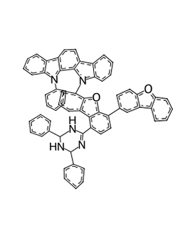 c1ccc(C2N=C(c3ccc(-c4ccc5oc6ccccc6c5c4)c4oc5c(-n6c7ccccc7c7ccc8c9ccccc9n(-c9ccccc9)c8c76)cccc5c34)NC(c3ccccc3)N2)cc1